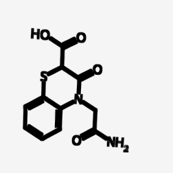 NC(=O)CN1C(=O)C(C(=O)O)Sc2ccccc21